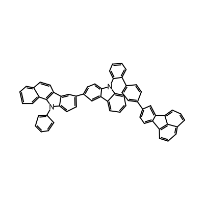 c1ccc(-n2c3ccc(-c4ccc5c(c4)c4ccccc4n5-c4ccccc4-c4ccc(-c5ccc6c(c5)-c5cccc7cccc-6c57)cc4)cc3c3ccc4ccccc4c32)cc1